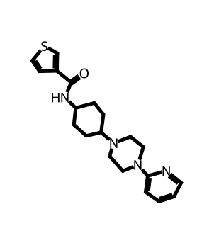 O=C(NC1CCC(N2CCN(c3ccccn3)CC2)CC1)c1ccsc1